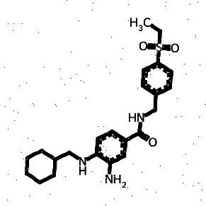 CCS(=O)(=O)c1ccc(CNC(=O)c2ccc(NCC3CCCCC3)c(N)c2)cc1